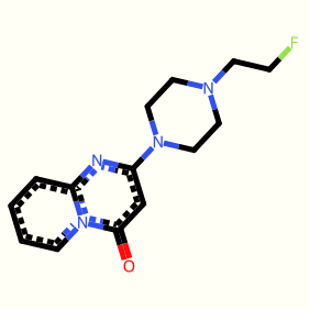 O=c1cc(N2CCN(CCF)CC2)nc2ccccn12